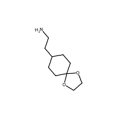 NCCC1CCC2(CC1)OCCO2